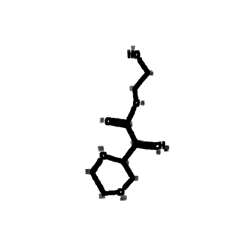 C=C(C(=O)OCCO)C1COCCO1